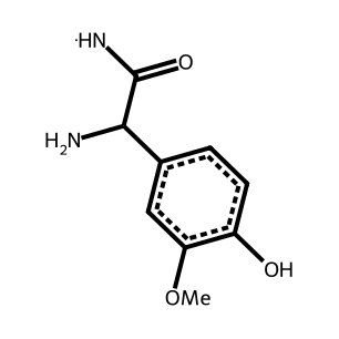 COc1cc(C(N)C([NH])=O)ccc1O